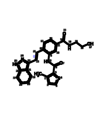 Cc1ccsc1C(=O)Nc1cc(C(=O)NCCO)ccc1/C=C/c1n[nH]c2ccccc12